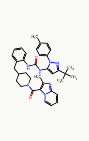 Cc1ccc(-n2nc(C(C)(C)C)cc2NC(=O)Nc2ccccc2CC2CCN(C(=O)c3c(C)nc4ccccn34)CC2)cc1